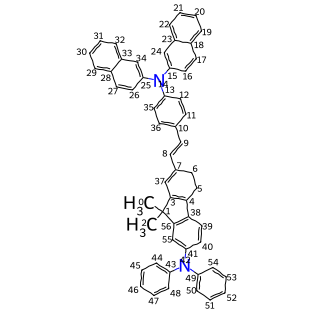 CC1(C)C2=C(CCC(/C=C/c3ccc(N(c4ccc5ccccc5c4)c4ccc5ccccc5c4)cc3)=C2)c2ccc(N(c3ccccc3)c3ccccc3)cc21